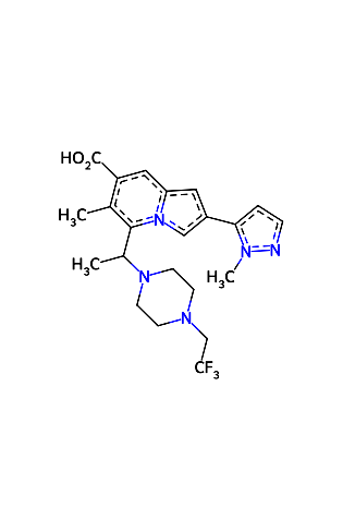 Cc1c(C(=O)O)cc2cc(-c3ccnn3C)cn2c1C(C)N1CCN(CC(F)(F)F)CC1